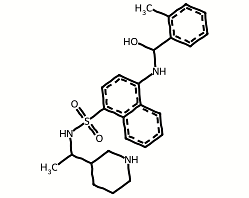 Cc1ccccc1C(O)Nc1ccc(S(=O)(=O)NC(C)C2CCCNC2)c2ccccc12